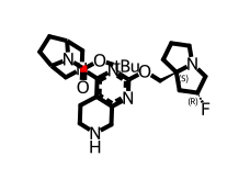 CC(C)(C)OC(=O)N1C2CCC1CN(c1nc(OC[C@@]34CCCN3C[C@H](F)C4)nc3c1CCNC3)C2